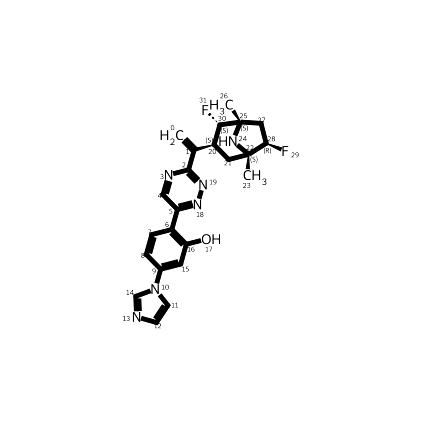 C=C(c1ncc(-c2ccc(-n3ccnc3)cc2O)nn1)[C@@H]1C[C@]2(C)N[C@@](C)(C[C@H]2F)[C@H]1F